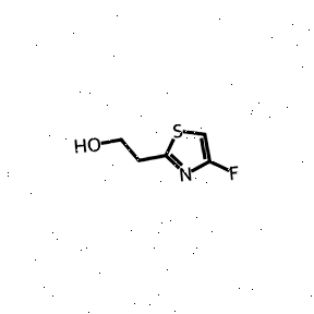 OCCc1nc(F)cs1